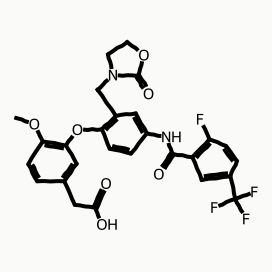 COc1ccc(CC(=O)O)cc1Oc1ccc(NC(=O)c2cc(C(F)(F)F)ccc2F)cc1CN1CCOC1=O